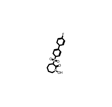 O=C1C(S(=O)(=O)C2C=CC(C3C=CC(F)=CC3)=CC2)CCCCN1O